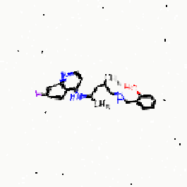 CC(CNCc1ccccc1O)CC(C)Nc1ccnc2cc(I)ccc12